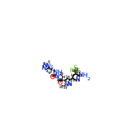 Cn1nncc1C(C)(C)NC(=O)N1CC[C@]2(C1)OCCn1nc(-c3cnc(N)c(C(F)(F)F)c3)cc12